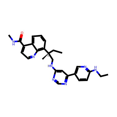 CCNc1ccc(-c2cc(NC[C@@](C)(CC)c3cccc4c(C(=O)NC)ccnc34)ncn2)cn1